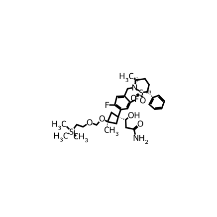 C[C@H]1CC[C@H](c2ccccc2)S(=O)(=O)N1Cc1cc(F)c([C@]2(C(O)CC(N)=O)C[C@](C)(OCOCC[Si](C)(C)C)C2)cc1F